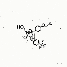 O=C(NCCO)C(=Cc1ccc(C(F)(F)F)cc1)NC(=O)c1ccc(OCC2CC2)cc1